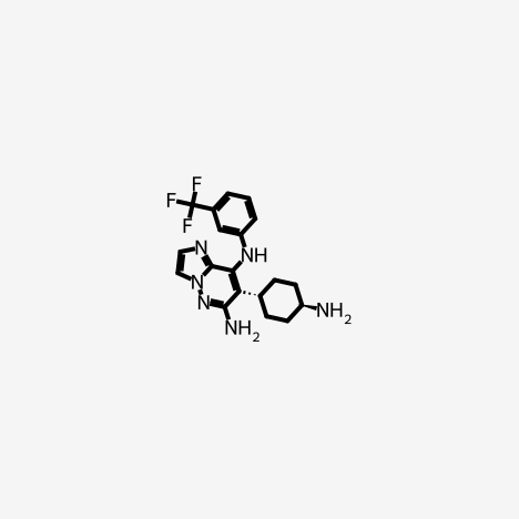 Nc1nn2ccnc2c(Nc2cccc(C(F)(F)F)c2)c1[C@H]1CC[C@H](N)CC1